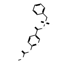 COC(=O)Oc1ccc(C(=O)NS(=O)(=O)Cc2ccccc2)cn1